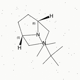 CC(C)N1[C@@H]2CC[C@H]1CN(C(C)(C)C)C2